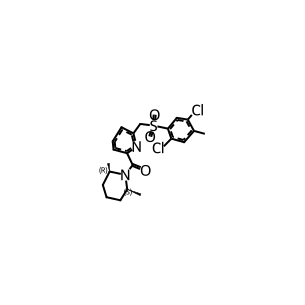 Cc1cc(Cl)c(S(=O)(=O)Cc2cccc(C(=O)N3[C@H](C)CCC[C@@H]3C)n2)cc1Cl